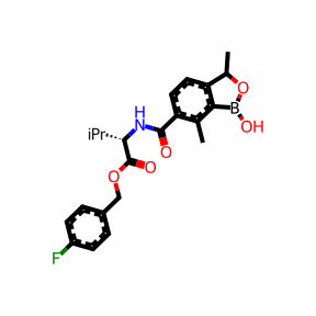 Cc1c(C(=O)N[C@H](C(=O)OCc2ccc(F)cc2)C(C)C)ccc2c1B(O)OC2C